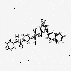 O=C(NC1CCOCC1)[C@@H]1CC[C@@H](Nc2ncc3c(Br)nn(-c4ccc5ncccc5c4)c3n2)C1